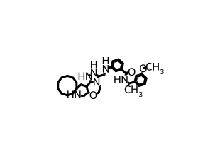 COc1cccc([C@H](C)NC(=O)c2cccc(NCC3NNC4C5CC6(CCCCCCCCC6)NCC5OCCN34)c2)c1